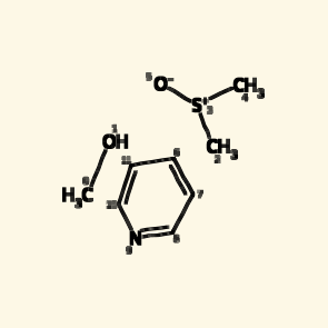 CO.C[S+](C)[O-].c1ccncc1